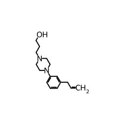 C=CCc1cccc(N2CCN(CCCO)CC2)c1